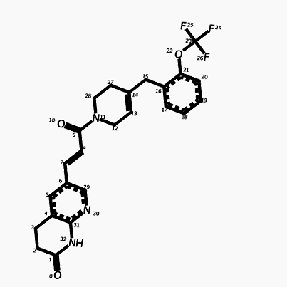 O=C1CCc2cc(C=CC(=O)N3CC=C(Cc4ccccc4OC(F)(F)F)CC3)cnc2N1